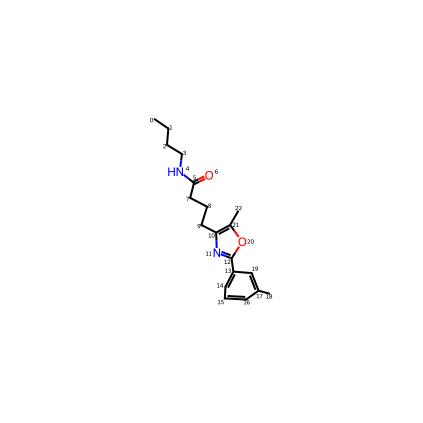 CCCCNC(=O)CCCc1nc(-c2cccc(C)c2)oc1C